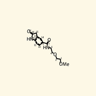 COCCOCCNC(=O)c1ccc2c(c1)CC(=O)N2